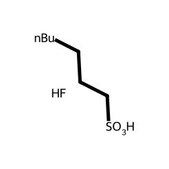 CCCCCCCS(=O)(=O)O.F